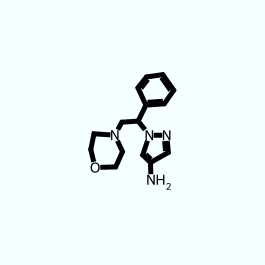 Nc1cnn(C(CN2CCOCC2)c2ccccc2)c1